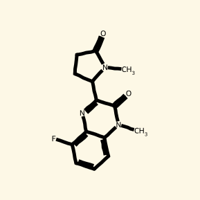 CN1C(=O)CCC1c1nc2c(F)cccc2n(C)c1=O